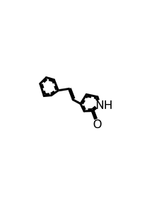 O=c1cc(C=Cc2ccccc2)cc[nH]1